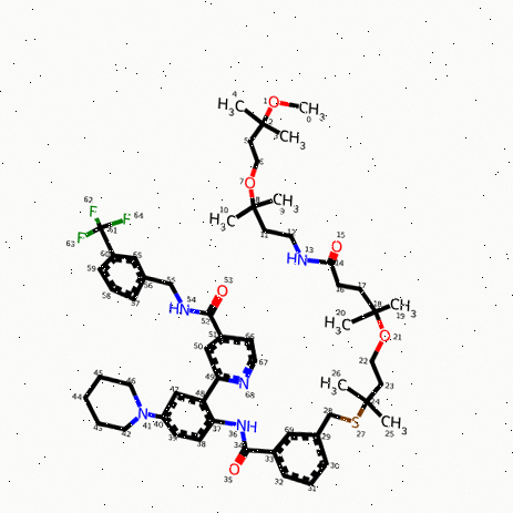 COC(C)(C)CCOC(C)(C)CCNC(=O)CCC(C)(C)OCCC(C)(C)SCc1cccc(C(=O)Nc2ccc(N3CCCCC3)cc2-c2cc(C(=O)NCc3cccc(C(F)(F)F)c3)ccn2)c1